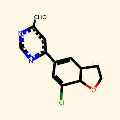 O=Cc1cc(C2=CC3CCOC3C(Cl)=C2)ncn1